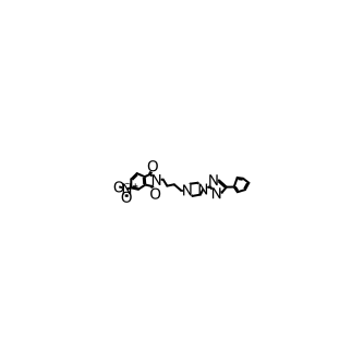 O=C1c2ccc([N+](=O)[O-])cc2C(=O)N1CCCCN1CCN(c2ncc(-c3ccccc3)cn2)CC1